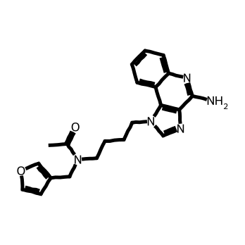 CC(=O)N(CCCCn1cnc2c(N)nc3ccccc3c21)Cc1ccoc1